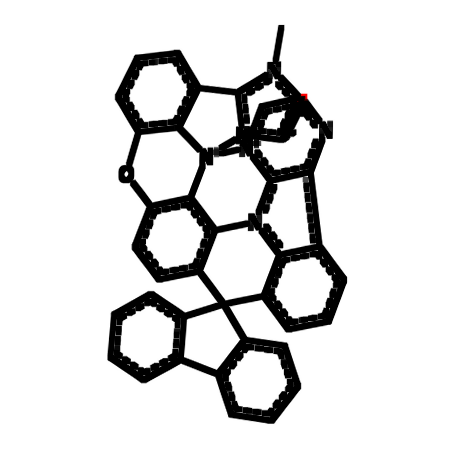 Cn1c2[n+](c3ccccc31)[N+]13c4c(cccc4-2)Oc2ccc4c(c21)-n1c2c(cccc2c2ncc[n+]3c21)C41c2ccccc2-c2ccccc21